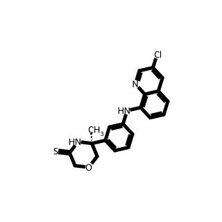 C[C@]1(c2cccc(Nc3cccc4cc(Cl)cnc34)c2)COCC(=S)N1